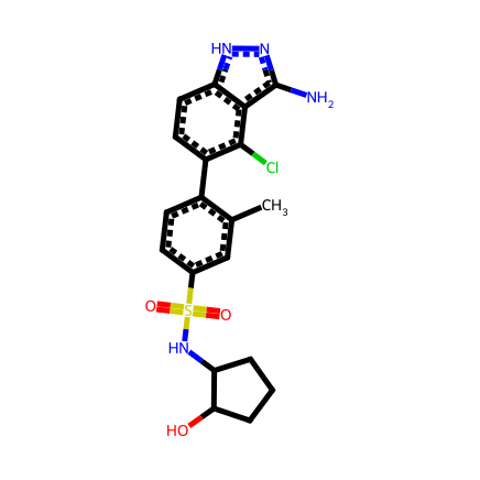 Cc1cc(S(=O)(=O)NC2CCCC2O)ccc1-c1ccc2[nH]nc(N)c2c1Cl